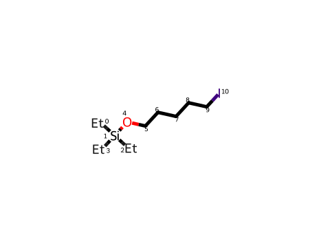 CC[Si](CC)(CC)OCCCCCI